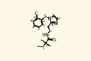 CCC(C)(C)C(=O)NCCc1nccn1Cc1ccccc1Cl